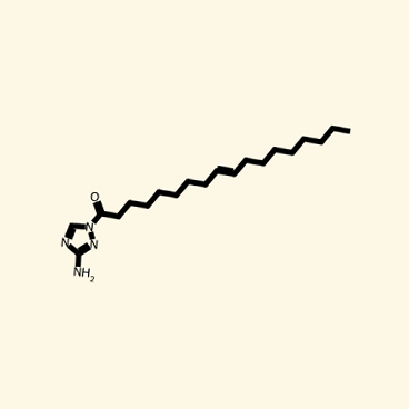 CCCCCCCCC=CCCCCCCCC(=O)n1cnc(N)n1